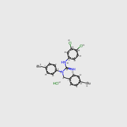 CCC(C)c1ccc(N(Cc2ccc(C(C)(C)C)cc2)C(=N)Nc2ccc(Cl)c(Cl)c2)cc1.Cl